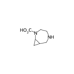 O=C(O)N1CCNCC2CC21